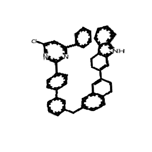 Clc1cc(-c2ccccc2)nc(-c2ccc(-c3cccc(Cc4ccc5c(c4)C=C(C4=Cc6[nH]c7ccccc7c6CC4)CC5)c3)cc2)n1